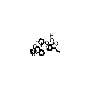 CCCc1ccnc(O[C@@H]2CC[C@@H](C)N(C(=O)c3ccccc3-n3nccn3)C2)c1C(=O)O